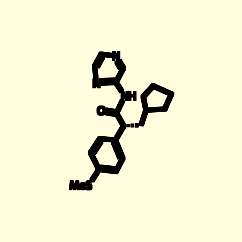 CSc1ccc([C@@H](CC2CCCC2)C(=O)Nc2cnccn2)cc1